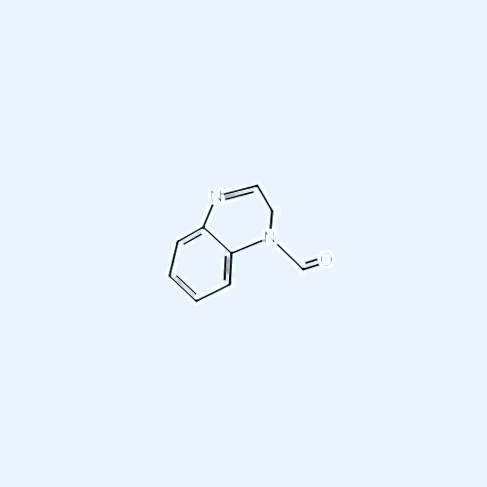 O=[C]N1[C]C=Nc2ccccc21